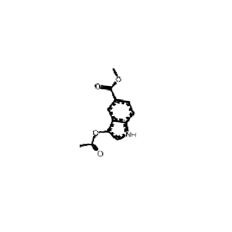 COC(=O)c1ccc2[nH]cc(OC(C)=O)c2c1